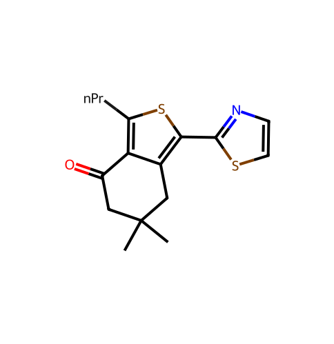 CCCc1sc(-c2nccs2)c2c1C(=O)CC(C)(C)C2